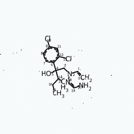 C=CN(CC(O)(c1ccc(Cl)cc1Cl)C(C)CC)/N=C\N